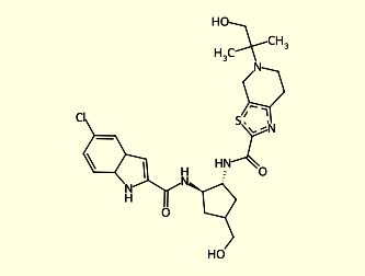 CC(C)(CO)N1CCc2nc(C(=O)N[C@@H]3CC(CO)C[C@H]3NC(=O)C3=CC4C=C(Cl)C=CC4N3)sc2C1